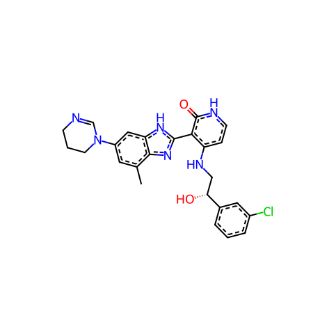 Cc1cc(N2C=NCCC2)cc2[nH]c(-c3c(NC[C@@H](O)c4cccc(Cl)c4)cc[nH]c3=O)nc12